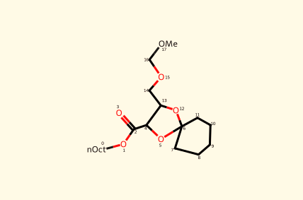 CCCCCCCCOC(=O)C1OC2(CCCCC2)OC1COCOC